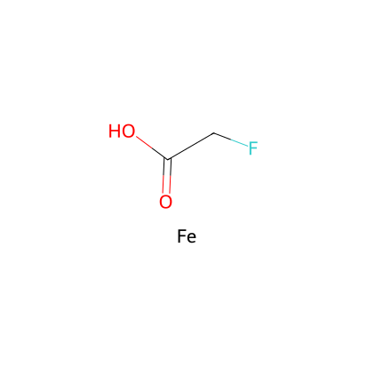 O=C(O)CF.[Fe]